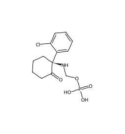 O=C1CCCC[C@]1(NCOP(=O)(O)O)c1ccccc1Cl